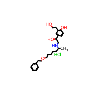 CC(CCCCCOCCc1ccccc1)NCC(O)c1ccc(O)c(CCO)c1.Cl